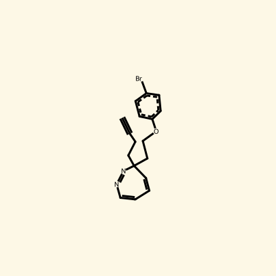 C#CCCC1(CCOc2ccc(Br)cc2)C=CC=CN=N1